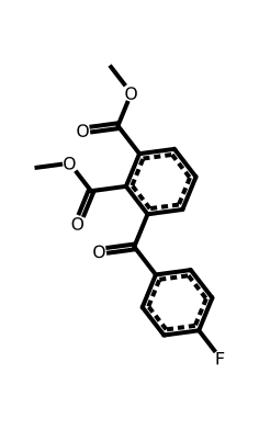 COC(=O)c1cccc(C(=O)c2ccc(F)cc2)c1C(=O)OC